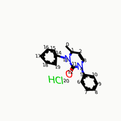 CC1C=CN(c2ccccc2)C(=O)N1c1ccccc1.Cl